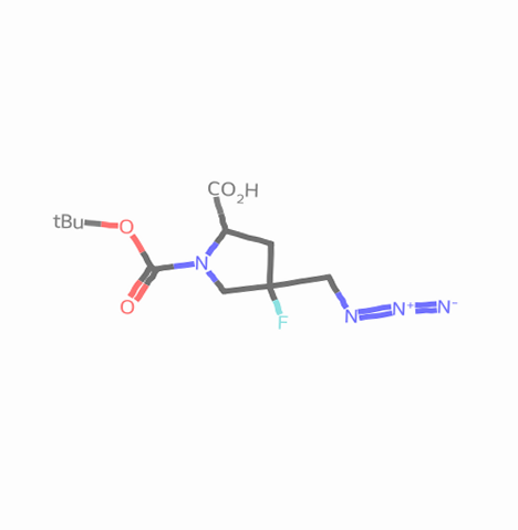 CC(C)(C)OC(=O)N1CC(F)(CN=[N+]=[N-])CC1C(=O)O